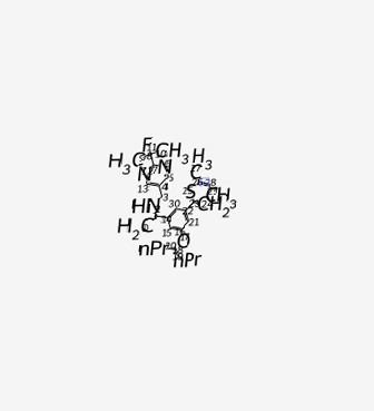 C=C(NCc1cnc(C(C)(C)F)nc1)c1cc(OC(CCC)CCC)cc(C(=C)S/C(C)=C\C)c1